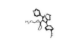 CCOC(=O)c1c(-c2ccc(F)cc2)c2n(c1-c1ccncc1)CCC2